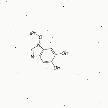 CC(C)On1cnc2cc(O)c(O)cc21